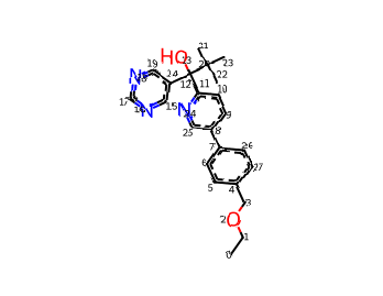 CCOCc1ccc(-c2ccc(C(O)(c3cncnc3)C(C)(C)C)nc2)cc1